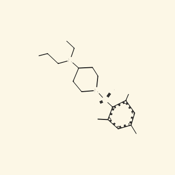 CCCN(CC)C1CCN(S(=O)(=O)c2c(C)cc(C)cc2C)CC1